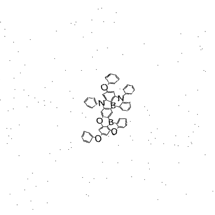 c1ccc(Oc2cc3c4c(c2)Oc2cc5c(cc2B4c2ccccc2O3)B2c3ccccc3N(c3ccccc3)c3cc(Oc4ccccc4)cc(c32)N5c2ccccc2)cc1